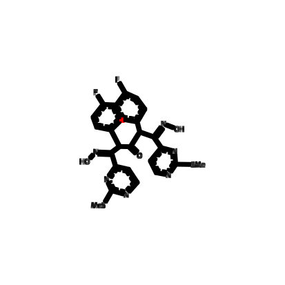 CSc1nccc(/C(=N\O)C(C(=O)C(/C(=N/O)c2ccnc(SC)n2)c2ccc(F)cc2)c2ccc(F)cc2)n1